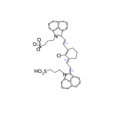 O=S(=O)([O-])CCC[N+]1=C(/C=C/C2=C(Cl)C(=C/C=c3/c4cccc5cccc(c54)n3CCCS(=O)(=O)O)/CCC2)c2cccc3cccc1c23